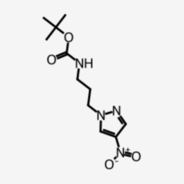 CC(C)(C)OC(=O)NCCCn1cc([N+](=O)[O-])cn1